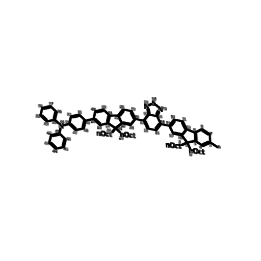 CCCCCCCCC1(CCCCCCCC)c2cc(C)ccc2-c2ccc(-c3ccc(-c4ccc5c(c4)C(CCCCCCCC)(CCCCCCCC)c4cc(-c6ccc(N(c7ccccc7)c7ccccc7)cc6)ccc4-5)c4nsnc34)cc21